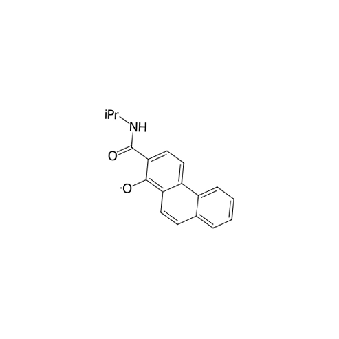 CC(C)NC(=O)c1ccc2c(ccc3ccccc32)c1[O]